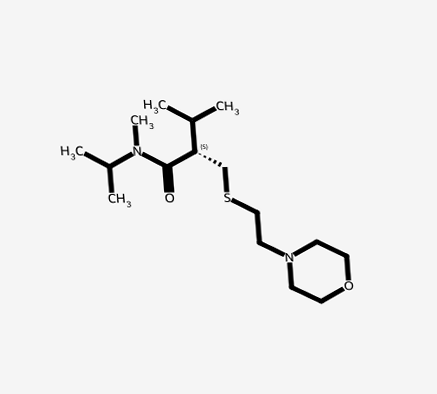 CC(C)[C@H](CSCCN1CCOCC1)C(=O)N(C)C(C)C